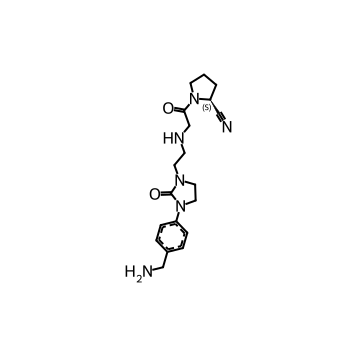 N#C[C@@H]1CCCN1C(=O)CNCCN1CCN(c2ccc(CN)cc2)C1=O